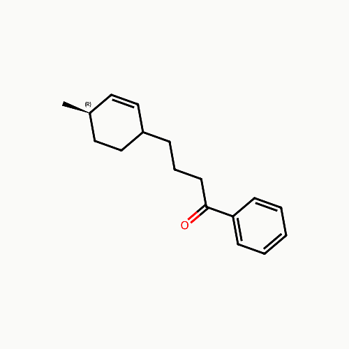 C[C@H]1C=CC(CCCC(=O)c2ccccc2)CC1